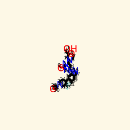 COc1nc(N2CCOC(CO)C2)cc(-n2ncc3cc(C)c(C4CCN(C5COC5)C[C@H]4F)cc32)n1